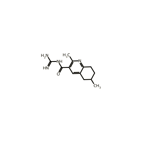 Cc1nc2c(cc1C(=O)NC(=N)N)CC(C)CC2